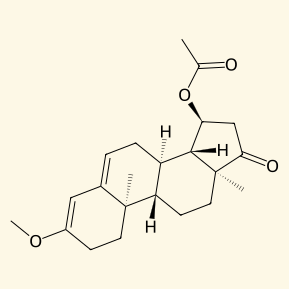 COC1=CC2=CC[C@H]3[C@@H]4[C@@H](OC(C)=O)CC(=O)[C@@]4(C)CC[C@@H]3[C@@]2(C)CC1